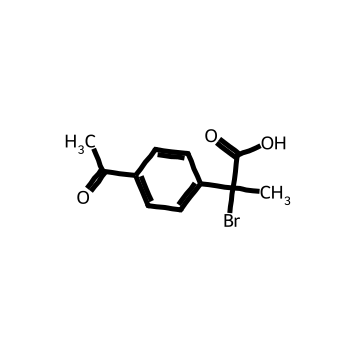 CC(=O)c1ccc(C(C)(Br)C(=O)O)cc1